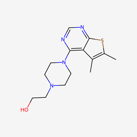 Cc1sc2ncnc(N3CCN(CCO)CC3)c2c1C